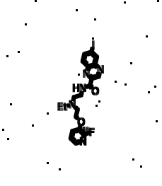 CCN(CCNC(=O)c1cnc2cc(I)ccc2n1)CCOc1cccnc1[18F]